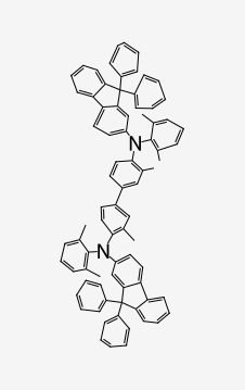 Cc1cc(-c2ccc(N(c3ccc4c(c3)C(c3ccccc3)(c3ccccc3)c3ccccc3-4)c3c(C)cccc3C)c(C)c2)ccc1N(c1ccc2c(c1)C(c1ccccc1)(c1ccccc1)c1ccccc1-2)c1c(C)cccc1C